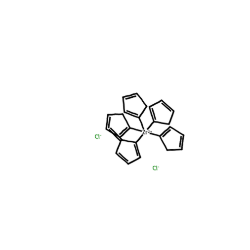 C=C1C=CC=[C]1[Zr+2]([C]1=CC=CC1)([C]1=CC=CC1)([C]1=CC=CC1)[C]1=CC=CC1.[Cl-].[Cl-]